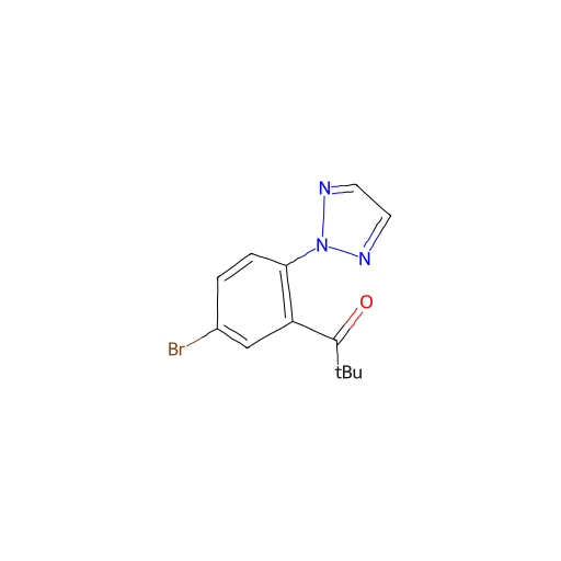 CC(C)(C)C(=O)c1cc(Br)ccc1-n1nccn1